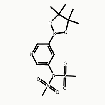 CC1(C)OB(c2cncc(N(S(C)(=O)=O)S(C)(=O)=O)c2)OC1(C)C